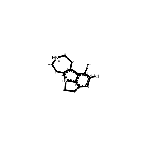 Fc1c(Cl)cc2c3c1c1c(n3CC2)CCNCC1